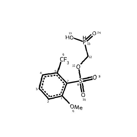 COc1cccc(C(F)(F)F)c1S(=O)(=O)OC[PH](=O)O